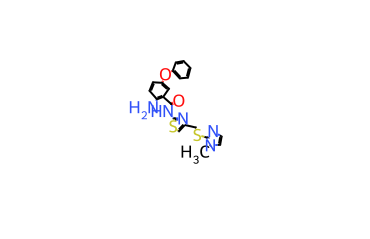 Cn1ccnc1SCc1csc(NC(=O)c2cc(Oc3ccccc3)ccc2N)n1